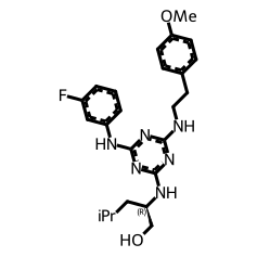 COc1ccc(CCNc2nc(Nc3cccc(F)c3)nc(N[C@@H](CO)CC(C)C)n2)cc1